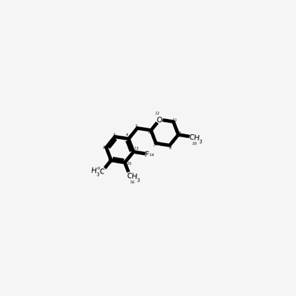 Cc1ccc(CC2CCC(C)CO2)c(F)c1C